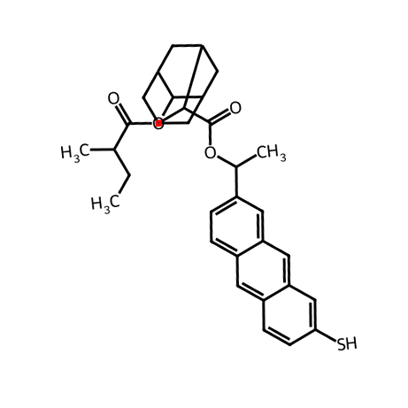 CCC(C)C(=O)OC1C2CC3CC1CC(C2)C3C(=O)OC(C)c1ccc2cc3ccc(S)cc3cc2c1